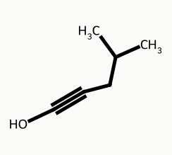 CC(C)CC#CO